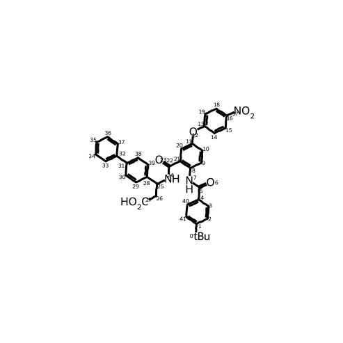 CC(C)(C)c1ccc(C(=O)Nc2ccc(Oc3ccc([N+](=O)[O-])cc3)cc2C(=O)NC(CC(=O)O)c2ccc(-c3ccccc3)cc2)cc1